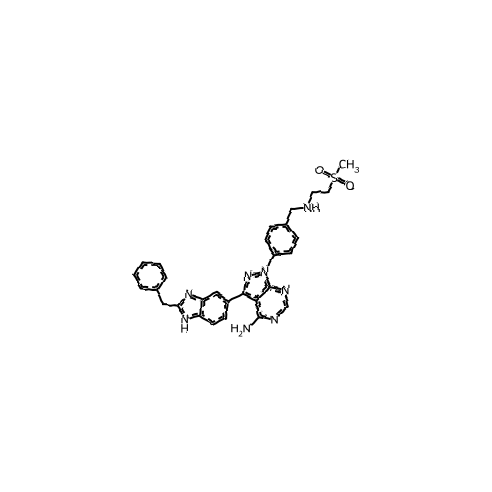 CS(=O)(=O)CCNCc1ccc(-n2nc(-c3ccc4[nH]c(Cc5ccccc5)nc4c3)c3c(N)ncnc32)cc1